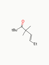 CCC=CC(C)(C)C(=O)C(C)(C)C